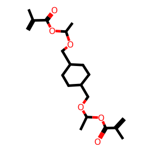 C=C(C)C(=O)OC(C)OCC1CCC(COC(C)OC(=O)C(=C)C)CC1